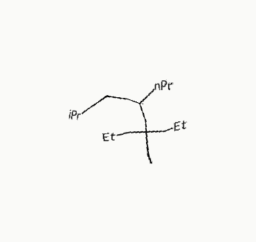 CCC[C](CC(C)C)C(C)(CC)CC